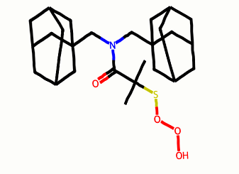 CC(C)(SOOO)C(=O)N(CC12CC3CC(CC(C3)C1)C2)CC12CC3CC(CC(C3)C1)C2